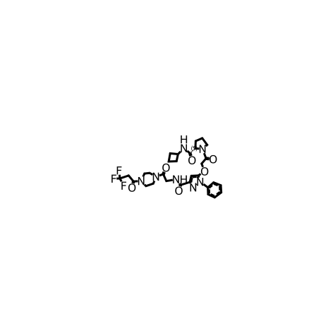 O=C(NCC(=O)N1CCN(C(=O)CC(F)(F)F)CC1)c1cc(OCC(=O)N2CCC[C@H]2C(=O)NC2CCC2)n(-c2ccccc2)n1